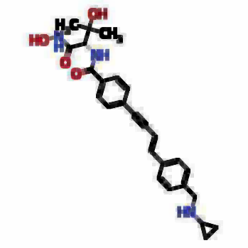 CC(C)(O)[C@H](NC(=O)c1ccc(C#C/C=C/c2ccc(CNC3CC3)cc2)cc1)C(=O)NO